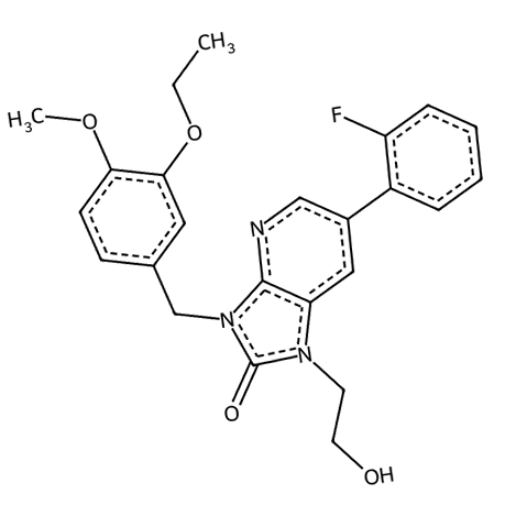 CCOc1cc(Cn2c(=O)n(CCO)c3cc(-c4ccccc4F)cnc32)ccc1OC